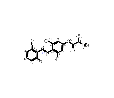 CCCCC(CC)C(=O)Oc1cc(F)c(/N=N/c2c(F)cccc2Cl)c(Cl)c1